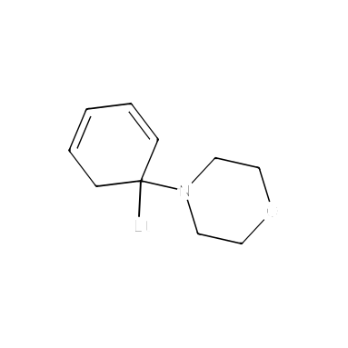 CCC1(N2CCOCC2)C=CC=CC1